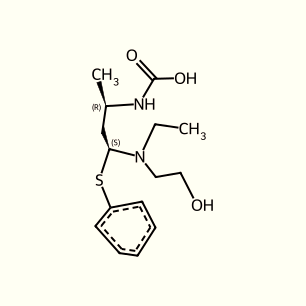 CCN(CCO)[C@H](C[C@@H](C)NC(=O)O)Sc1ccccc1